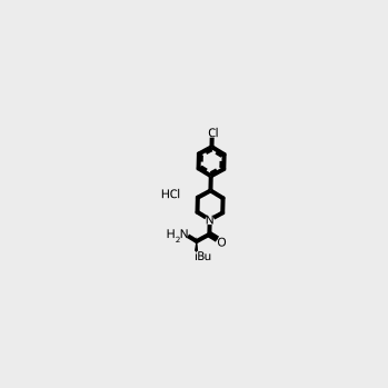 CCC(C)[C@@H](N)C(=O)N1CCC(c2ccc(Cl)cc2)CC1.Cl